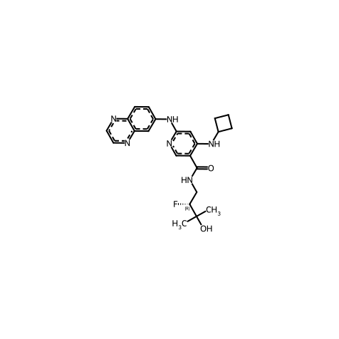 CC(C)(O)[C@H](F)CNC(=O)c1cnc(Nc2ccc3nccnc3c2)cc1NC1CCC1